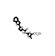 CCOC(=O)c1sc(NC(=O)c2ccc(-c3cc4ccccc4s3)s2)nc1C